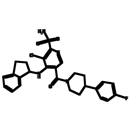 NS(=O)(=O)c1ncc(C(=O)N2CCC(c3ccc(F)cc3)CC2)c(NC2CCc3ccccc32)c1Cl